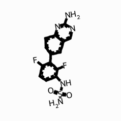 Nc1ncc2cc(-c3c(F)ccc(NS(N)(=O)=O)c3F)ccc2n1